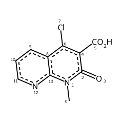 Cn1c(=O)c(C(=O)O)c(Cl)c2cccnc21